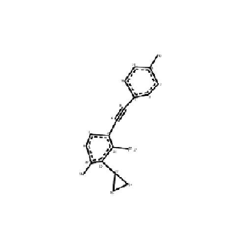 Cc1ccc(C#Cc2ccc(C)c(C3CC3)c2F)cc1